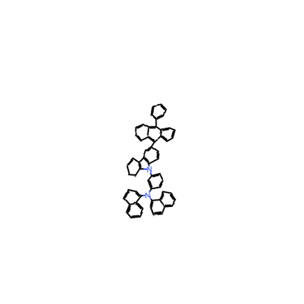 C1=Cc2c(n(-c3cccc(N(c4cccc5ccccc45)c4cccc5ccccc45)c3)c3ccc(-c4c5ccccc5c(-c5ccccc5)c5ccccc45)cc23)CC1